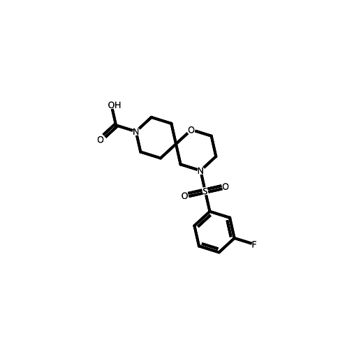 O=C(O)N1CCC2(CC1)CN(S(=O)(=O)c1cccc(F)c1)CCO2